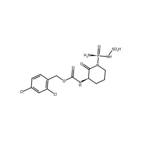 N[P@@](=O)(NS(=O)(=O)O)N1CCC[C@@H](NC(=O)OCc2ccc(Cl)cc2Cl)C1=O